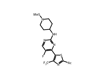 CSN1CCC(Nc2ncc(F)c(-c3sc(C(C)=O)nc3C(F)(F)F)n2)CC1